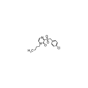 CCCCn1ccnc(S(=O)(=O)Cc2ccc(Cl)cc2)c1=O